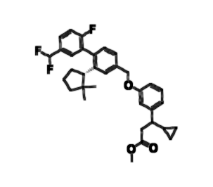 COC(=O)CC(c1cccc(OCc2ccc(-c3cc(C(F)F)ccc3F)c([C@H]3CCCC3(C)C)c2)c1)C1CC1